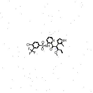 C=C/C(OC)=C(/C(=O)c1ncccc1NS(=O)(=O)c1ccc(Cl)c(C(F)(F)F)c1)c1cc[nH]c1C